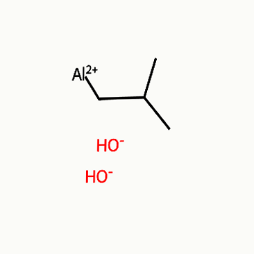 CC(C)[CH2][Al+2].[OH-].[OH-]